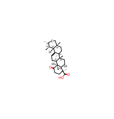 C[C@H]1[C@H](C)CC[C@]2(C)CC[C@]3(C)C(=CC[C@@H]4[C@@]5(C)C(=O)CC[C@](C)(C(=O)O)[C@@H]5CC[C@]43C)[C@H]12